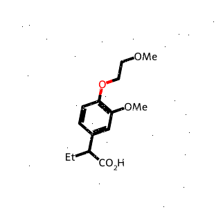 CCC(C(=O)O)c1ccc(OCCOC)c(OC)c1